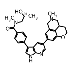 C[C@@H](O)CN(C)C(=O)c1ccc(-c2c[nH]c3ncc(-c4cc5c6c(c4)OCCC6CN(C)C5)cc23)cc1